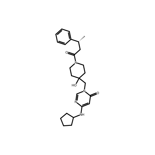 C[C@H](CC(=O)N1CCC(O)(Cn2cnc(NC3CCCC3)cc2=O)CC1)c1ccccc1